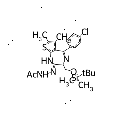 CC(=O)NN=C1Nc2sc(C)c(C)c2C(c2ccc(Cl)cc2)=NC1CO[Si](C)(C)C(C)(C)C